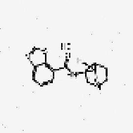 Cl.O=C(N[C@H]1CN2CCC1CC2)c1cccc2ncsc12